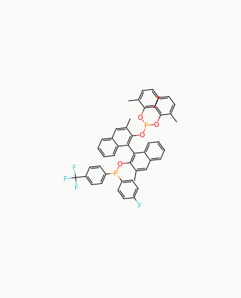 Cc1ccccc1OP(Oc1ccccc1C)Oc1c(C)cc2ccccc2c1-c1c(OP(c2ccc(F)cc2)c2ccc(C(F)(F)F)cc2)c(C)cc2ccccc12